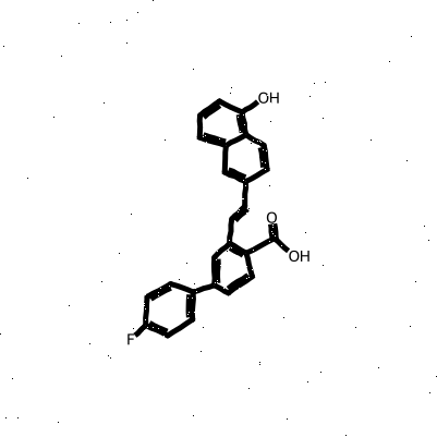 O=C(O)c1ccc(-c2ccc(F)cc2)cc1C=Cc1ccc2c(O)cccc2c1